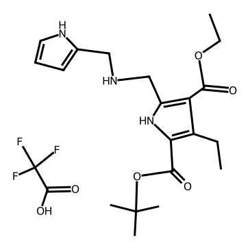 CCOC(=O)c1c(CNCc2ccc[nH]2)[nH]c(C(=O)OC(C)(C)C)c1CC.O=C(O)C(F)(F)F